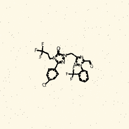 O=Cc1nc(Cn2nc(-c3ccc(Cl)cc3)n(CCC(F)(F)F)c2=O)nn1-c1ccccc1C(F)(F)F